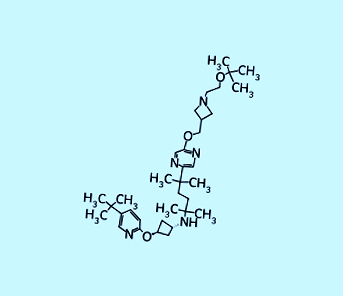 CC(C)(CCC(C)(C)c1cnc(OCC2CN(CCOC(C)(C)C)C2)cn1)N[C@H]1C[C@H](Oc2ccc(C(C)(C)C)cn2)C1